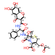 CO[C@@]1(NC(=O)C(NC(=O)c2coc3cc(O)c(O)cc3c2=O)c2ccccc2)C(=O)N2C(C(=O)O)=C(COC(C)=O)CS[C@H]21